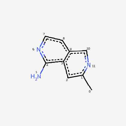 Cc1cc2c(N)nccc2cn1